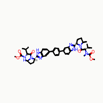 COC(=O)N[C@H](C(=O)N1C(C)CC[C@H]1c1nc2cc(-c3ccc(-c4ccc5[nH]c([C@@H]6CCC(C)N6C(=O)[C@H](C(C)C)N(C)C(=O)OC)nc5c4)cc3)ccc2[nH]1)C(C)C